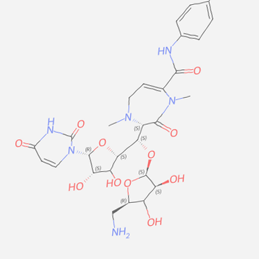 CCCCc1ccc(NC(=O)C2=CCN(C)[C@@H]([C@H](O[C@@H]3O[C@H](CN)C(O)[C@@H]3O)[C@H]3O[C@@H](n4ccc(=O)[nH]c4=O)[C@@H](O)C3O)C(=O)N2C)cc1